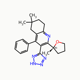 CC1(C)CCc2nc([C@@]3(C)CCCO3)c(-c3nn[nH]n3)c(-c3ccccc3)c2C1